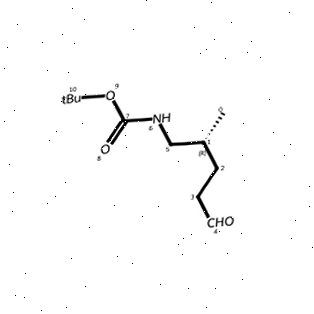 C[C@H](CCC=O)CNC(=O)OC(C)(C)C